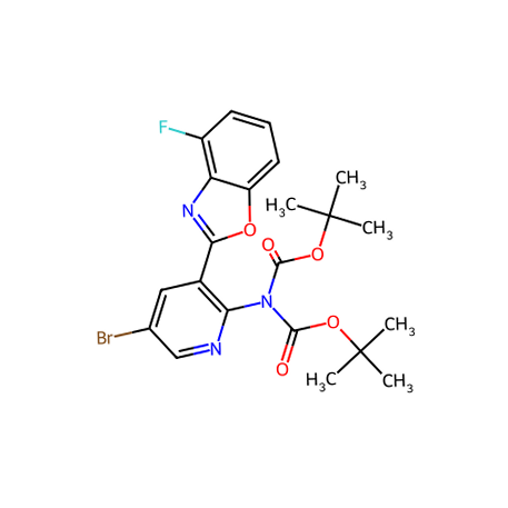 CC(C)(C)OC(=O)N(C(=O)OC(C)(C)C)c1ncc(Br)cc1-c1nc2c(F)cccc2o1